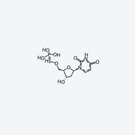 O=c1ccn([C@H]2C[C@H](O)[C@@H](CO[SH]=P(O)(O)O)O2)c(=O)[nH]1